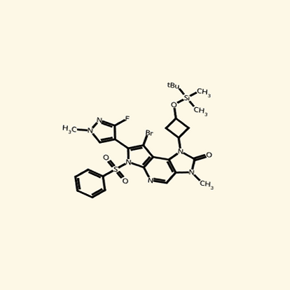 Cn1cc(-c2c(Br)c3c(ncc4c3n(C3CC(O[Si](C)(C)C(C)(C)C)C3)c(=O)n4C)n2S(=O)(=O)c2ccccc2)c(F)n1